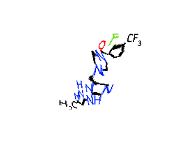 Cc1cc(Nc2cncc(CN3CCN(C(=O)c4cccc(C(F)(F)F)c4F)CC3)n2)[nH]n1